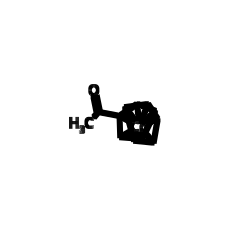 CC(=O)[C]12[CH]3[CH]4[CH]5[CH]1[Co]45321678[CH]2[CH]1[CH]6[CH]7[CH]28